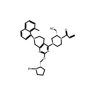 C=CC(=O)N1CCN(c2nc(OC[C@@H]3CCCN3C(C)C)nc3c2CCN(c2cccc4cccc(C)c24)C3)C[C@@H]1CC#N